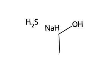 CCO.S.[NaH]